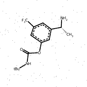 C[C@@H](N)c1cc(OC(=O)NC(C)(C)C)cc(C(F)(F)F)c1